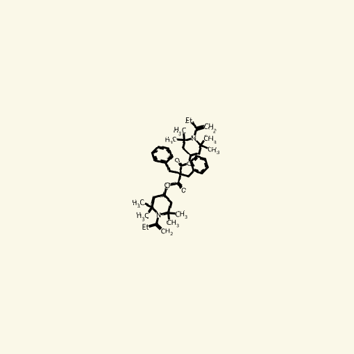 C=C(CC)N1C(C)(C)CC(OC(=O)C(Cc2ccccc2)(Cc2ccccc2)C(=O)OC2CC(C)(C)N(C(=C)CC)C(C)(C)C2)CC1(C)C